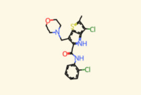 Cc1sc2c(CN3CCOCC3)c(C(=O)Nc3ccccc3Cl)[nH]c2c1Cl